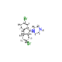 CN1CCN(C2c3cc(Br)ccc3-c3ccc(Br)cc32)CC1